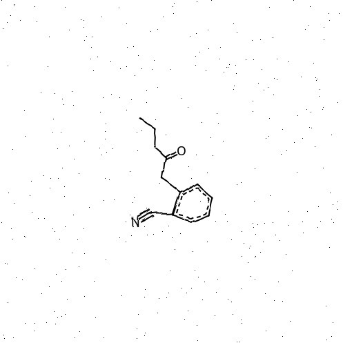 CCCC(=O)Cc1ccccc1C#N